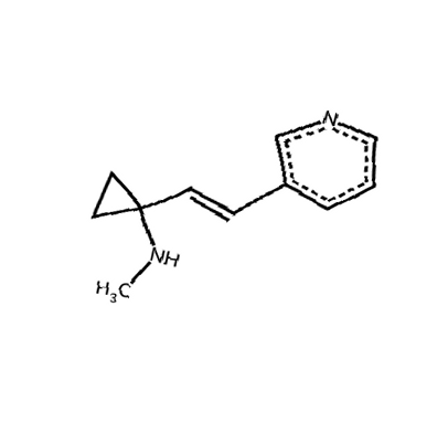 CNC1(C=Cc2cccnc2)CC1